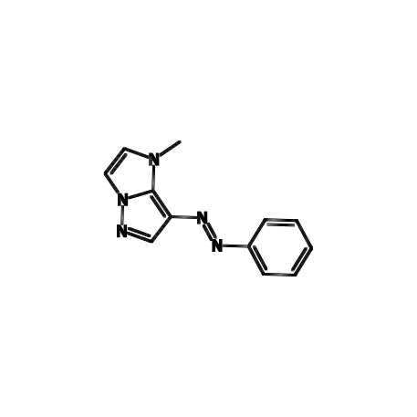 Cn1ccn2ncc(N=Nc3ccccc3)c12